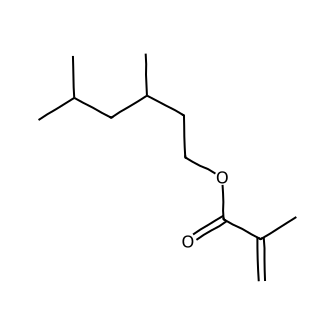 C=C(C)C(=O)OCCC(C)CC(C)C